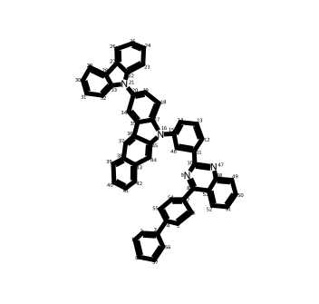 c1ccc(-c2ccc(-c3nc(-c4cccc(-n5c6ccc(-n7c8ccccc8c8ccccc87)cc6c6cc7ccccc7cc65)c4)nc4ccccc34)cc2)cc1